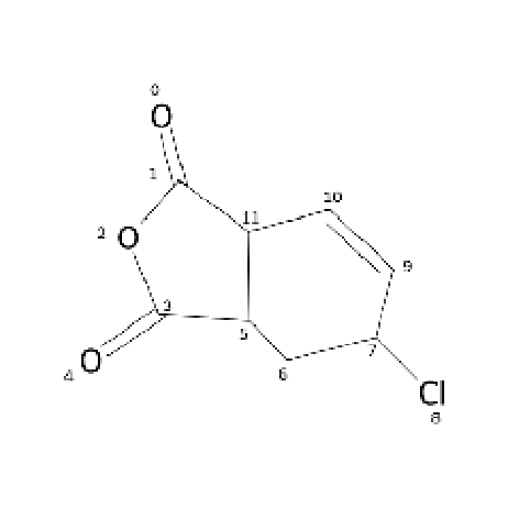 O=C1OC(=O)C2CC(Cl)C=CC12